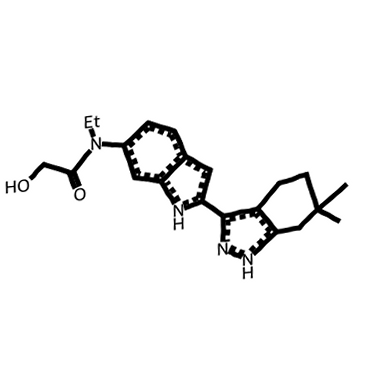 CCN(C(=O)CO)c1ccc2cc(-c3n[nH]c4c3CCC(C)(C)C4)[nH]c2c1